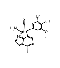 COc1cc(C2C3=CC=C(C)C4=CC=NC43OC(N)=C2C#N)cc(Br)c1O